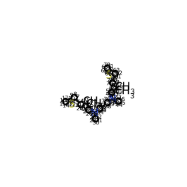 CC1(C)c2cc(-c3cccc4c3sc3ccccc34)ccc2-c2ccc(N(c3ccccc3)c3ccc(-c4ccc(N(c5ccccc5)c5ccc6c(c5)C(C)(C)c5cc(-c7cccc8c7sc7ccccc78)ccc5-6)cc4)cc3)cc21